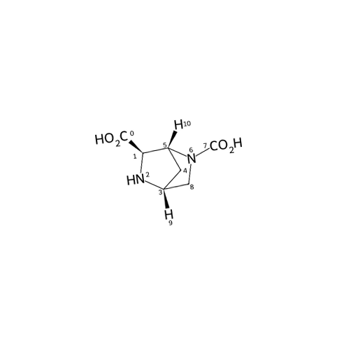 O=C(O)[C@@H]1N[C@@H]2C[C@H]1N(C(=O)O)C2